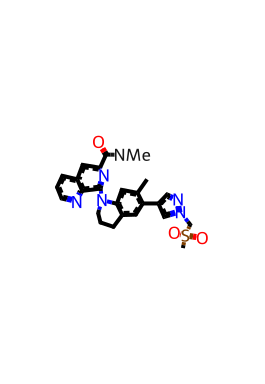 CNC(=O)c1cc2cccnc2c(N2CCCc3cc(-c4cnn(CS(C)(=O)=O)c4)c(C)cc32)n1